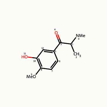 CNC(C)C(=O)c1ccc(OC)c(O)c1